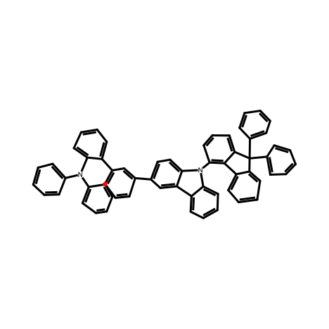 c1ccc(N(c2ccccc2)c2ccccc2-c2cccc(-c3ccc4c(c3)c3ccccc3n4-c3cccc4c3-c3ccccc3C4(c3ccccc3)c3ccccc3)c2)cc1